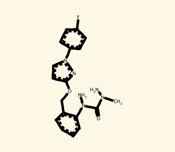 CN(N)C(=O)N(N)c1ccccc1COc1ccn(-c2ccc(F)cc2)n1